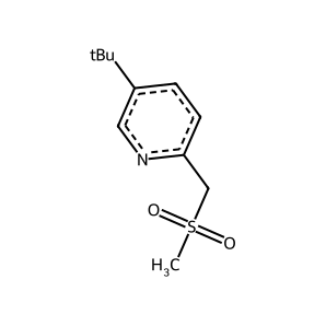 CC(C)(C)c1ccc(CS(C)(=O)=O)nc1